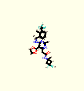 Cc1nc(CC(=O)NC2(C)CC(F)(F)C2)c(C2OCCO2)c(N[C@H](C)c2cccc(C(F)(F)F)c2C)n1